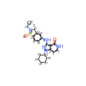 O=c1[nH]ccc2c1c(Nc1ccc3c(c1)CN(CC(F)(F)F)[S+]3[O-])nn2C1CCCCC1